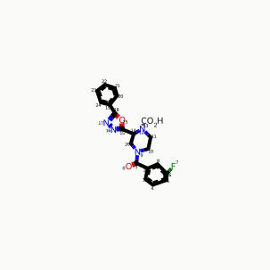 O=C(c1cccc(F)c1)N1CCN(C(=O)O)C(c2nnc(-c3ccccc3)o2)C1